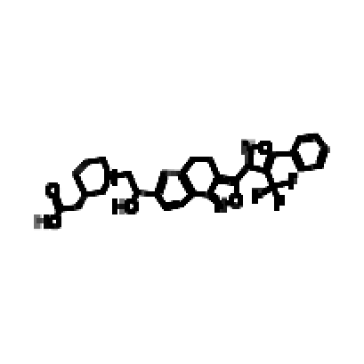 O=C(O)C[C@H]1CCCN(CC(O)c2ccc3c(c2)CCc2c-3noc2-c2noc(-c3ccccc3)c2C(F)(F)F)C1